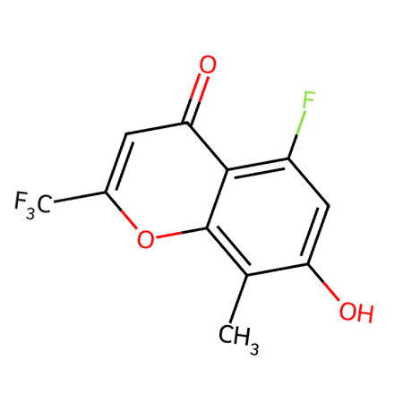 Cc1c(O)cc(F)c2c(=O)cc(C(F)(F)F)oc12